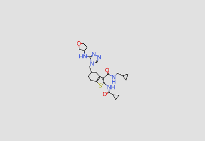 O=C(NCC1CC1)c1c(NC(=O)C2CC2)sc2c1CC(Cn1cnnc1NC1CCOC1)CC2